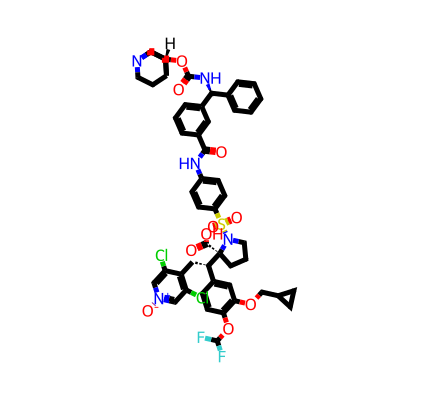 O=C(N[C@@H](c1ccccc1)c1cccc(C(=O)Nc2ccc(S(=O)(=O)N3CCC[C@@]3(C(=O)O)[C@@H](Cc3c(Cl)c[n+]([O-])cc3Cl)c3ccc(OC(F)F)c(OCC4CC4)c3)cc2)c1)O[C@H]1CN2CCC1CC2